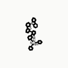 C1=Cc2c(c3ccccc3n2-c2cccc3c2sc2c(-c4cccc5oc6c(C7N=C(c8ccccc8)NC(c8ccccc8)N7)cccc6c45)cccc23)CC1